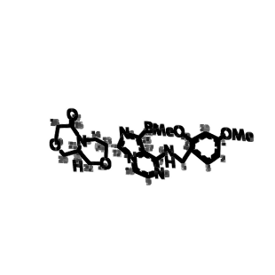 COc1ccc(CNc2nccn3c([C@H]4CN5C(=O)COC[C@@H]5CO4)nc(Br)c23)c(OC)c1